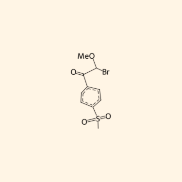 COC(Br)C(=O)c1ccc(S(C)(=O)=O)cc1